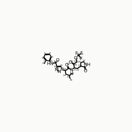 Cc1ccccc1NC(=O)c1cn(C(CC(C)C)C(=O)NC(CC2CCNC2=O)C(=O)COC(F)(F)F)nn1